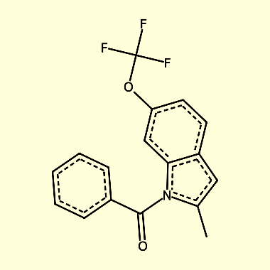 Cc1cc2ccc(OC(F)(F)F)cc2n1C(=O)c1ccccc1